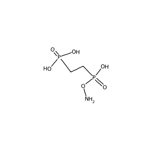 NOP(=O)(O)CCP(=O)(O)O